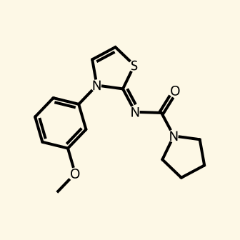 COc1cccc(-n2ccsc2=NC(=O)N2CCCC2)c1